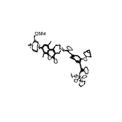 COC[C@H]1CN(c2cc(C)c3c4c(c(=O)oc3c2C)CN(C(=O)c2ccc(C(=O)NS(=O)(=O)N3CCCC3)c(OC3CC5CC5C3)c2)CC4)CCN1C